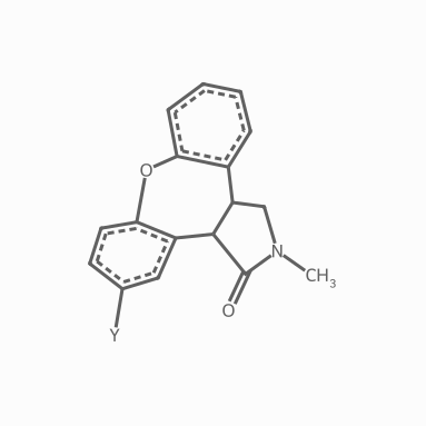 CN1CC2c3ccccc3Oc3cc[c]([Y])cc3C2C1=O